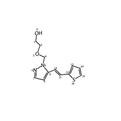 OCCOCn1nccc1/C=C/c1cccs1